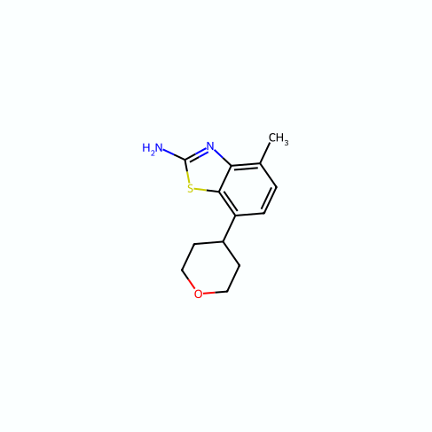 Cc1ccc(C2CCOCC2)c2sc(N)nc12